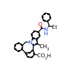 CCC(NC(=O)c1ccc2c(c1)c(C)c1n2Cc2ccccc2-c2ccc(C(=O)O)c-1c2)c1ccccc1